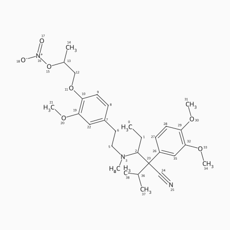 CCC(N(C)CCc1ccc(OCC(C)O[N+](=O)[O-])c(OC)c1)C(C#N)(c1ccc(OC)c(OC)c1)C(C)C